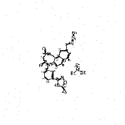 CCN(CC)CC.[N-]=[N+]=NCc1ccc2ccc3c(c2c1)NC(=O)CC(=O)N3c1cccc(-c2noc(=S)[nH]2)c1